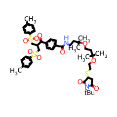 Cc1ccc(S(=O)(=O)CC(CS(=O)(=O)c2ccc(C)cc2)C(=O)c2ccc(C(=O)NCCC(C)(C)OCCC(C)(C)OCCSC3CC(=O)N(C(C)(C)C)C3=O)cc2)cc1